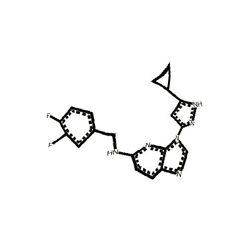 Fc1ccc(CNc2ccc3ncn(-c4cc(C5CC5)[nH]n4)c3n2)cc1F